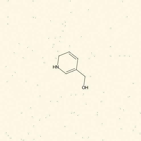 OCC1=CNCC=C1